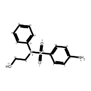 Nc1ccc(S(=O)(=O)N(CCO)c2ccccc2)cc1